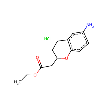 CCOC(=O)CC1CCc2cc(N)ccc2O1.Cl